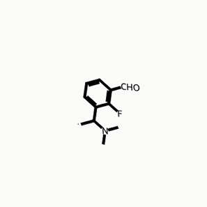 [CH2]C(c1cccc(C=O)c1F)N(C)C